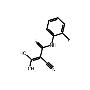 C/C(O)=C(\C#N)C(=S)Nc1ccccc1F